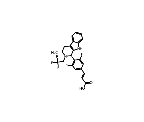 C[C@@H]1Cc2c([nH]c3ccccc23)[C@@H](c2c(F)cc(/C=C/C(=O)O)cc2F)N1CC(F)(F)F